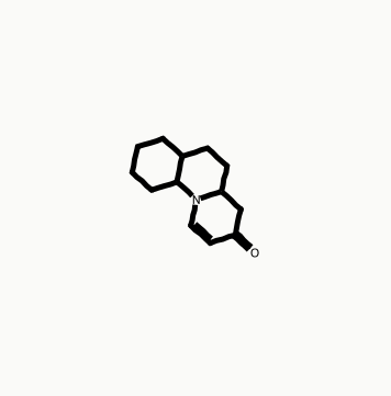 O=C1C=CN2C(CCC3CCCCC32)C1